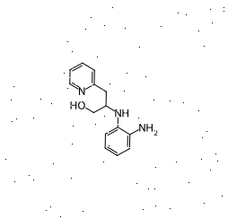 Nc1ccccc1NC(CO)Cc1ccccn1